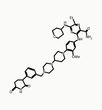 CCc1nc(C(N)=O)c(Nc2ccc(N3CCC(N4CCN(Cc5cccc(C6CCC(=O)NC6=O)c5)CC4)CC3)c(OC)c2)nc1NC1CCOCC1